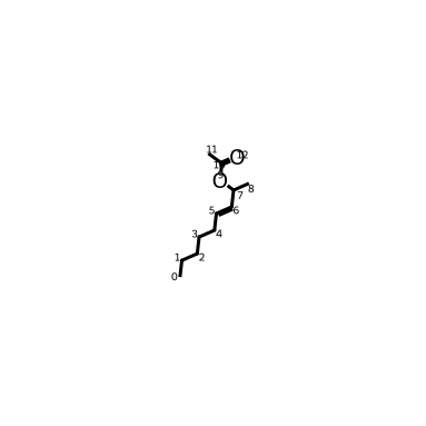 CCCCCC=CC(C)OC(C)=O